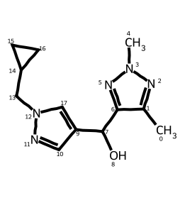 Cc1nn(C)nc1C(O)c1cnn(CC2CC2)c1